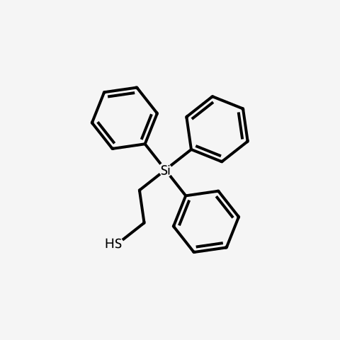 SCC[Si](c1ccccc1)(c1ccccc1)c1ccccc1